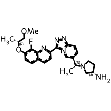 COC[C@@H](C)Oc1ccc2ccc(-c3nnc4ccc([C@H](C)N5CC[C@H](N)C5)cn34)nc2c1F